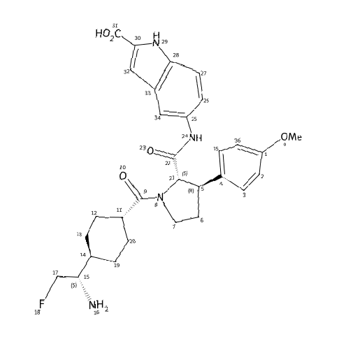 COc1ccc([C@H]2CCN(C(=O)[C@H]3CC[C@H]([C@H](N)CF)CC3)[C@@H]2C(=O)Nc2ccc3[nH]c(C(=O)O)cc3c2)cc1